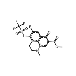 COC(=O)c1cn2c3c(c(OS(=O)(=O)C(F)(F)F)c(F)cc3c1=O)CCN2C